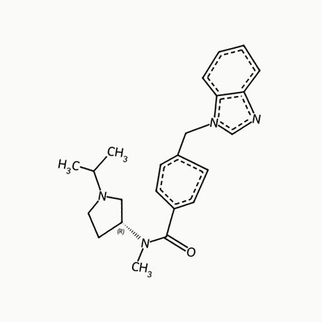 CC(C)N1CC[C@@H](N(C)C(=O)c2ccc(Cn3cnc4ccccc43)cc2)C1